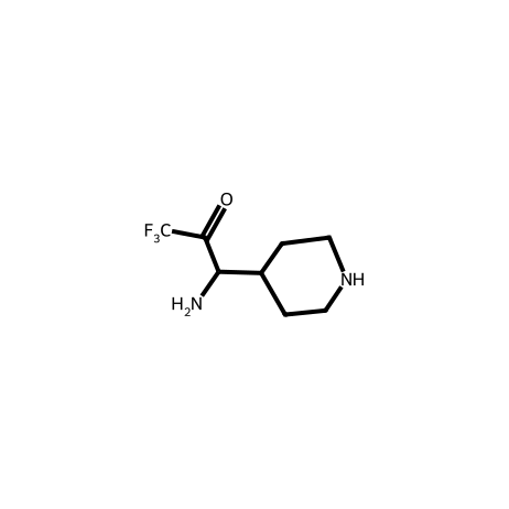 NC(C(=O)C(F)(F)F)C1CCNCC1